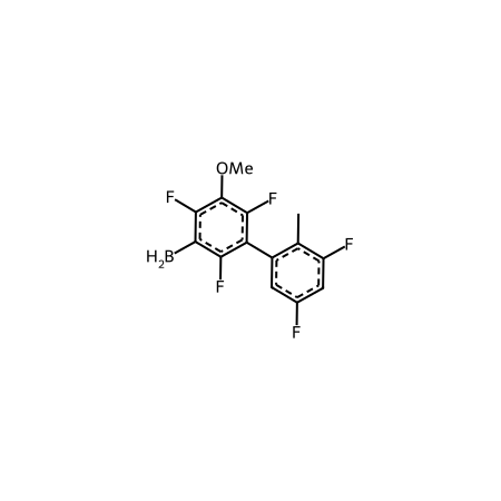 Bc1c(F)c(OC)c(F)c(-c2cc(F)cc(F)c2C)c1F